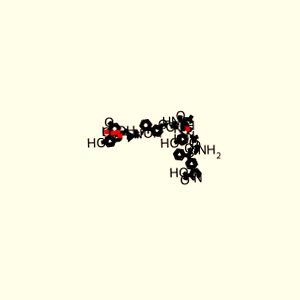 C=CCC1(CC(C)C)C(=O)NC(=O)NC1=O.CC(=O)Nc1ccc(O)cc1.COc1cccc([C@@]2(O)CCCC[C@@H]2CN(C)C)c1.NC(=O)C[S+]([O-])C(c1ccccc1)c1ccccc1.O=C(O)c1cccnc1.O=C1CC[C@@]2(O)[C@H]3Cc4ccc(O)c5c4[C@@]2(CCN3CC2CC2)[C@H]1O5